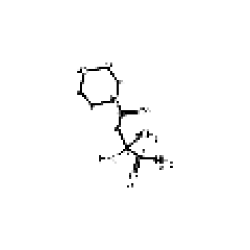 CC(C)([CH]C(=O)N1CCOCC1)C(N)=O